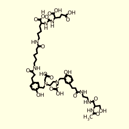 CC(=O)NC(CO)C(=O)NCCNC(=O)CCc1ccc(O)c(CN(CCN(CC(=O)O)Cc2cc(CCC(=O)NCCCCCC(=O)NCCCCC(NC(=O)NC(CCC(=O)O)C(=O)O)C(=O)O)ccc2O)CC(=O)O)c1